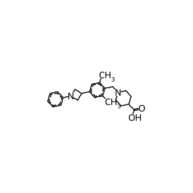 Cc1cc(C2CN(c3ccccc3)C2)cc(C)c1CN1CCC(C(=O)O)CC1